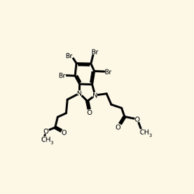 COC(=O)CCCn1c(=O)n(CCCC(=O)OC)c2c(Br)c(Br)c(Br)c(Br)c21